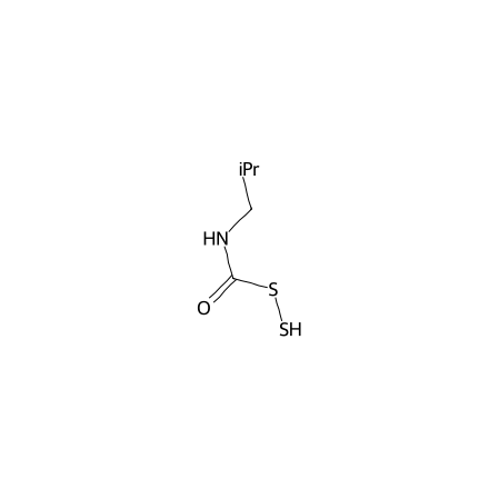 CC(C)CNC(=O)SS